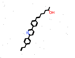 C=CCc1ccc(-c2ccc(-c3ccc(C=CCCCC(C)O)cc3)cn2)cc1